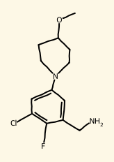 COC1CCN(c2cc(Cl)c(F)c(CN)c2)CC1